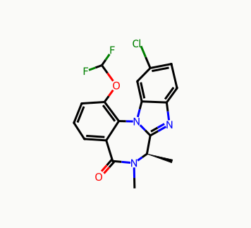 C[C@@H]1c2nc3ccc(Cl)cc3n2-c2c(OC(F)F)cccc2C(=O)N1C